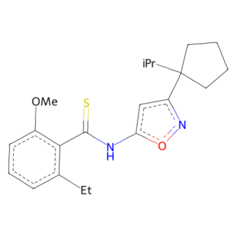 CCc1cccc(OC)c1C(=S)Nc1cc(C2(C(C)C)CCCC2)no1